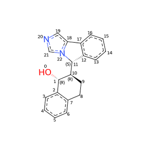 O[C@H]1c2ccccc2CC[C@@H]1[C@H]1c2ccccc2-c2cncn21